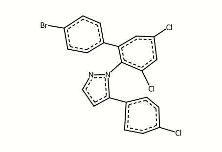 Clc1ccc(-c2ccnn2-c2c(Cl)cc(Cl)cc2-c2ccc(Br)cc2)cc1